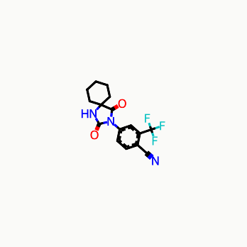 N#Cc1ccc(N2C(=O)NC3(CCCCC3)C2=O)cc1C(F)(F)F